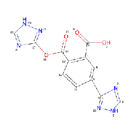 O=C(O)c1cc(-c2nc[nH]n2)ccc1C(=O)Oc1nc[nH]n1